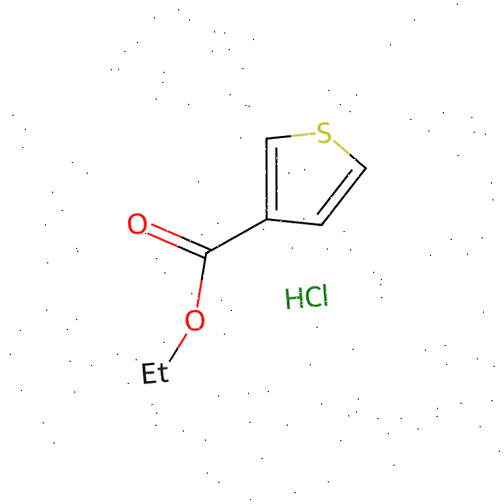 CCOC(=O)c1ccsc1.Cl